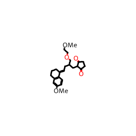 COCCOCC(CC=C1CCCc2cc(OC)ccc21)CC1C(=O)CCC1=O